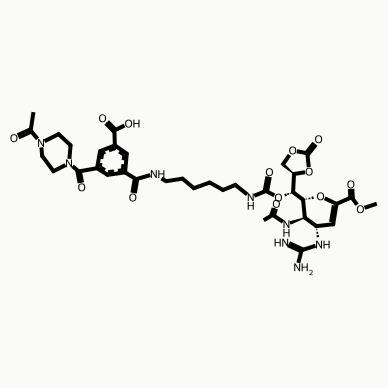 COC(=O)C1=C[C@H](NC(=N)N)[C@@H](NC(C)=O)[C@H]([C@H](OC(=O)NCCCCCCNC(=O)c2cc(C(=O)O)cc(C(=O)N3CCN(C(C)=O)CC3)c2)[C@H]2COC(=O)O2)O1